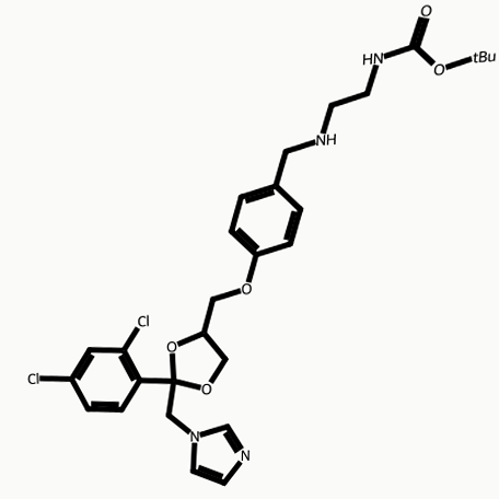 CC(C)(C)OC(=O)NCCNCc1ccc(OCC2COC(Cn3ccnc3)(c3ccc(Cl)cc3Cl)O2)cc1